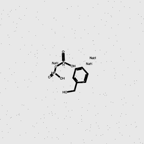 O=[PH](O)O[PH](=O)O.OCc1ccccc1.[NaH].[NaH].[NaH]